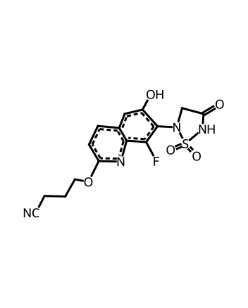 N#CCCCOc1ccc2cc(O)c(N3CC(=O)NS3(=O)=O)c(F)c2n1